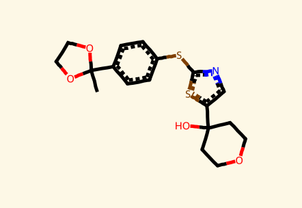 CC1(c2ccc(Sc3ncc(C4(O)CCOCC4)s3)cc2)OCCO1